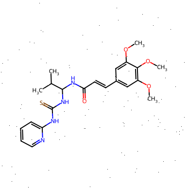 COc1cc(C=CC(=O)NC(NC(=S)Nc2ccccn2)C(C)C)cc(OC)c1OC